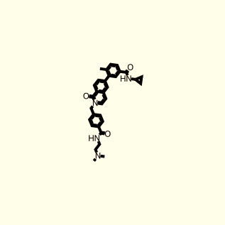 Cc1ccc(C(=O)NC2CC2)cc1-c1ccc2c(=O)n(Cc3ccc(C(=O)NCCN(C)C)cc3)ccc2c1